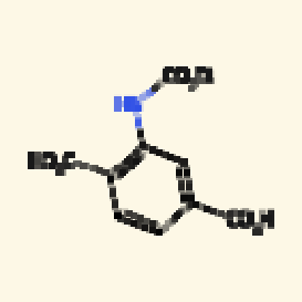 CCOC(=O)Nc1cc(C(=O)O)ccc1C(=O)O